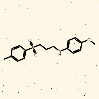 COc1ccc(NCCCS(=O)(=O)c2ccc(C)cc2)cc1